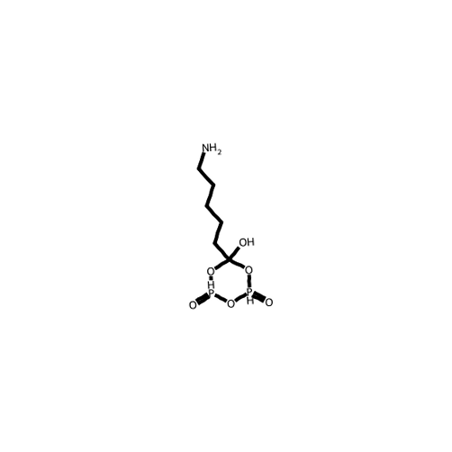 NCCCCCC1(O)O[PH](=O)O[PH](=O)O1